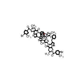 Cc1nn[nH]c1-c1cc(-n2c(=O)c3c(n4ncc(Cc5ccccc5)c24)CN(C(=O)c2ccc(Br)c(C(F)(F)F)c2)[C@@H](C)C3)nn1Cc1cccc(Cc2cnn3c4c(c(=O)n(-c5ccc(-c6nn(C)c(=O)[nH]6)cc5)c23)C[C@@H](C)N(C(=O)c2ccc(Br)c(C(F)(F)F)c2)C4)c1